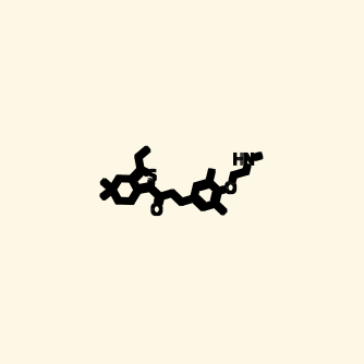 CCc1sc(C(=O)CCc2cc(C)c(OCCNC)c(C)c2)c2c1CC(C)(C)CC2